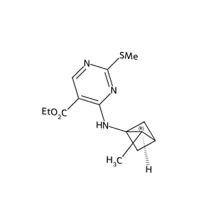 CCOC(=O)c1cnc(SC)nc1NC12CC(C1)[C@H]2C